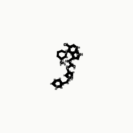 N[C@@H]1CCCN(c2c(Cl)cnc3[nH]cc(NC(=O)Oc4cnn(Cc5cccnc5)c4)c23)C1